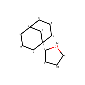 C1CC2CCCC(C1)C2.C1CCOC1